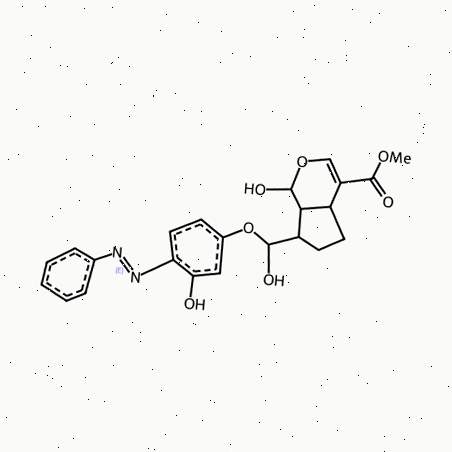 COC(=O)C1=COC(O)C2C1CCC2C(O)Oc1ccc(/N=N/c2ccccc2)c(O)c1